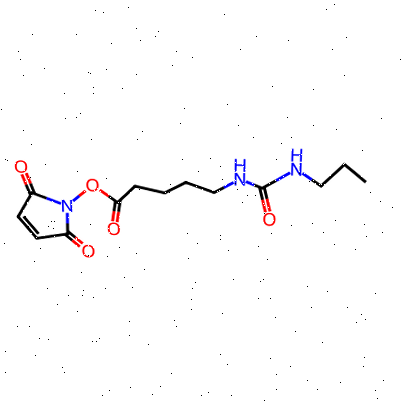 CCCNC(=O)NCCCCC(=O)ON1C(=O)C=CC1=O